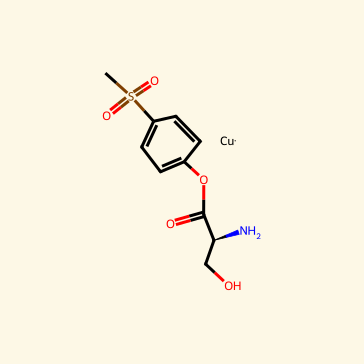 CS(=O)(=O)c1ccc(OC(=O)[C@@H](N)CO)cc1.[Cu]